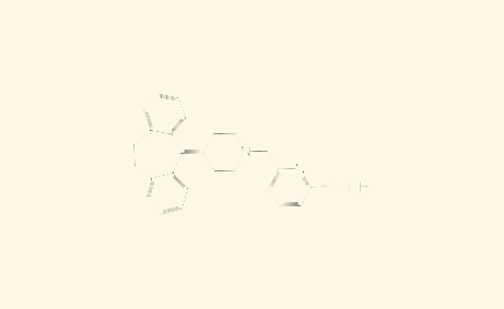 O=C(O)c1cccc(CN2CCC(=C3c4ccccc4CCc4ccccc43)CC2)n1